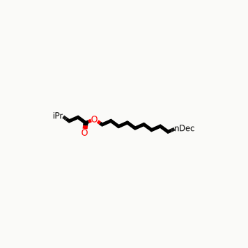 CCCCCCCCCCCCCCCCCCCOC(=O)CCC(C)C